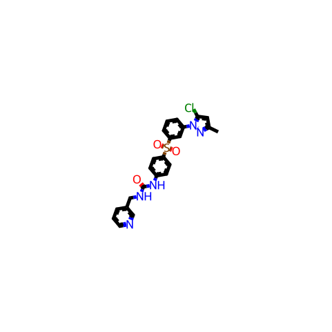 Cc1cc(Cl)n(-c2cccc(S(=O)(=O)c3ccc(NC(=O)NCc4cccnc4)cc3)c2)n1